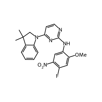 COc1cc(F)c([N+](=O)[O-])cc1Nc1nccc(N2CC(C)(C)c3ccccc32)n1